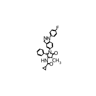 CC1C(=O)N(c2ccc3c(cnn3-c3ccc(F)cc3)c2)[C@H](c2ccccc2)[C@H]1NC(=O)C1CC1